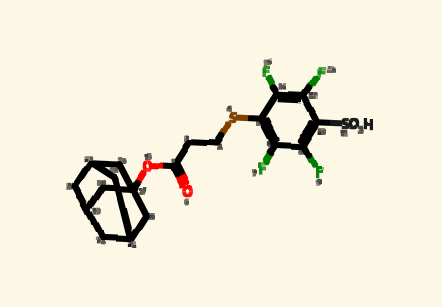 O=C(CCSc1c(F)c(F)c(S(=O)(=O)O)c(F)c1F)OC12CC3CC(CC(C3)C1)C2